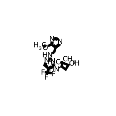 COc1ncncc1CNc1ncc(C(F)(F)F)c(N[C@@H]2C[C@H](O)C2(C)C)n1